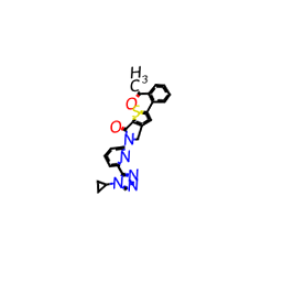 CC(=O)c1ccccc1-c1cc2c(s1)C(=O)N(c1cccc(-c3nncn3C3CC3)n1)C2